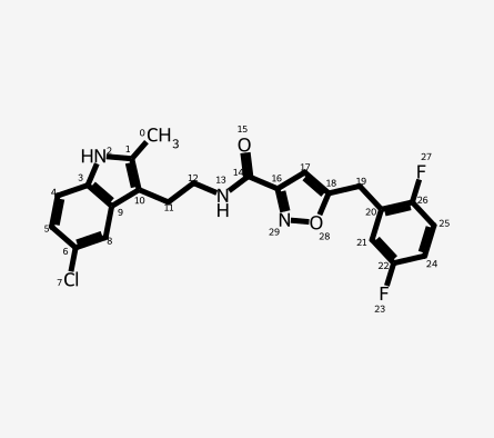 Cc1[nH]c2ccc(Cl)cc2c1CCNC(=O)c1cc(Cc2cc(F)ccc2F)on1